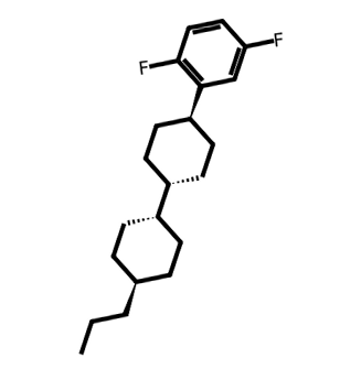 CCC[C@H]1CC[C@H]([C@H]2CC[C@H](c3cc(F)ccc3F)CC2)CC1